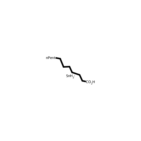 CCCCCCCCCCCC(=O)O.[SnH2]